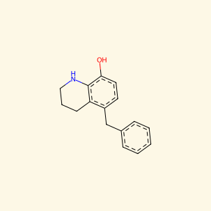 Oc1ccc(Cc2ccccc2)c2c1NCCC2